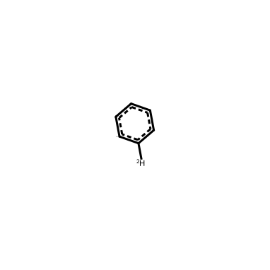 [2H]c1[c]cccc1